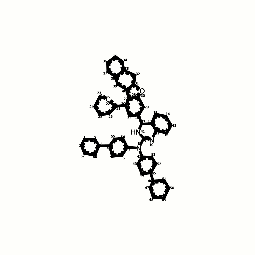 c1ccc(-c2ccc(N(C3=Nc4ccccc4C(c4cc(-c5ccccc5)c5c(c4)oc4cc6ccccc6cc45)N3)c3ccc(-c4ccccc4)cc3)cc2)cc1